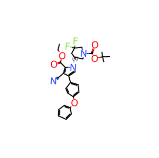 CCOC(=O)c1c(C#N)c(-c2ccc(Oc3ccccc3)cc2)cn1[C@H]1CN(C(=O)OC(C)(C)C)CC(F)(F)C1